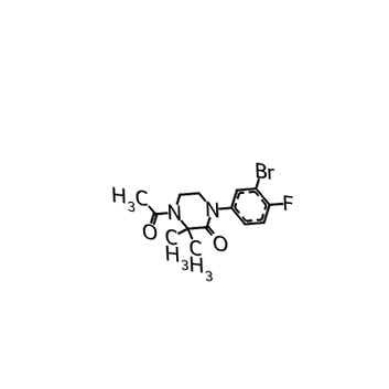 CC(=O)N1CCN(c2ccc(F)c(Br)c2)C(=O)C1(C)C